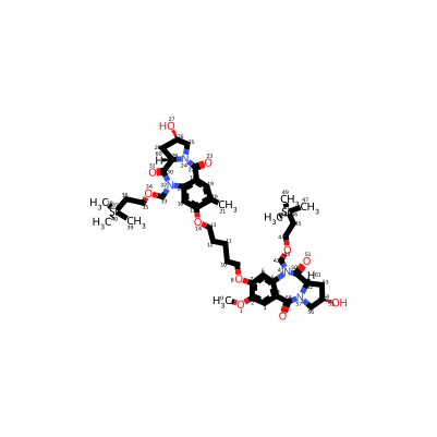 COc1cc2c(cc1OCCCCCOc1cc3c(cc1C)C(=O)N1C[C@H](O)C[C@H]1C(=O)N3COCC[Si](C)(C)C)N(COCC[Si](C)(C)C)C(=O)[C@@H]1C[C@@H](O)CN1C2=O